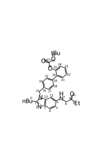 CCCCc1nc2ccc(NCC(=O)CC)cc2n1Cc1ccc(-c2ccccc2OC(=O)OC(C)(C)C)cc1